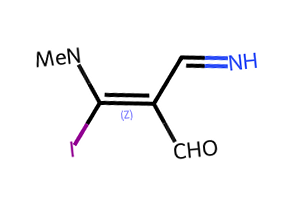 CN/C(I)=C(\C=N)C=O